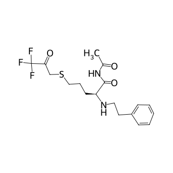 CC(=O)NC(=O)[C@H](CCCSCC(=O)C(F)(F)F)NCCc1ccccc1